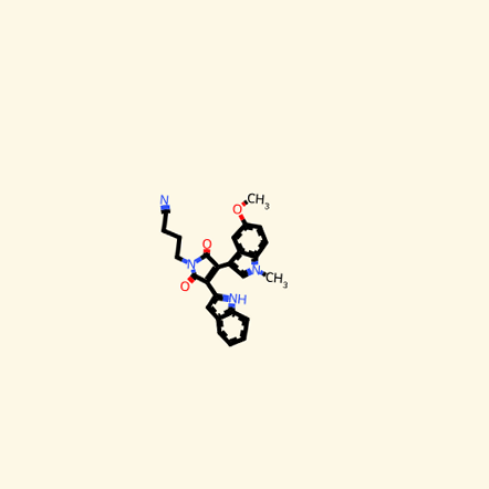 COc1ccc2c(c1)c(C1=C(c3cc4ccccc4[nH]3)C(=O)N(CCCC#N)C1=O)cn2C